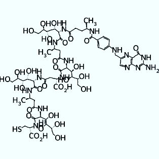 C[C@H](CCC(=O)N[C@H](C(=O)N[C@H](C)CC(=O)N[C@H](C(=O)N[C@@H](CC(=O)N[C@H](C(=O)N[C@H](C)CC(=O)N[C@H](C(=O)N[C@@H](CS)C(=O)O)/C(O)=C(\O)[C@H](O)CO)[C@@H](O)[C@H](O)[C@H](O)CO)C(=O)O)[C@@H](O)[C@H](O)[C@H](O)CO)[C@@H](O)[C@H](O)[C@H](O)CO)NC(=O)c1ccc(NCc2cnc3nc(N)[nH]c(=O)c3n2)cc1